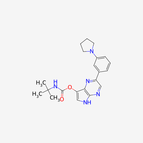 CC(C)(C)NC(=O)Oc1c[nH]c2ncc(-c3cccc(N4CCCC4)c3)nc12